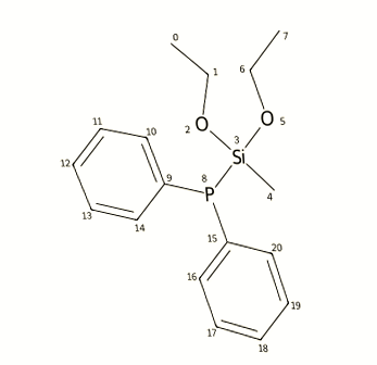 CCO[Si](C)(OCC)P(c1ccccc1)c1ccccc1